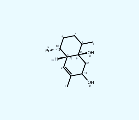 CC1=C[C@@H]2[C@H](C(C)C)CCC(C)[C@]2(O)[C]C1O